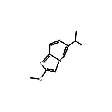 CSc1cn2cc(C(C)C)ccc2n1